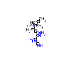 C=C/C(=C\N(CCC)/C(C#N)=C(\C)c1ccc(C)cc1)c1ccc(-c2cc(/C(C=N)=C/NC3CCNCC3)cnc2N)cc1